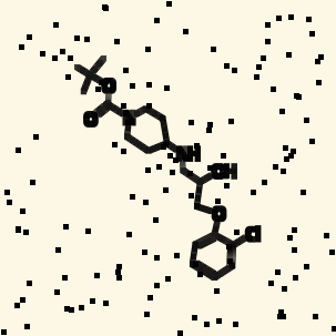 CC(C)(C)OC(=O)N1CCC(NCC(O)COc2ccccc2Cl)CC1